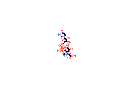 CC(=O)N[C@H]1[C@@H](OP(=O)(O)OP(=O)(O)OC[C@H]2O[C@@H](n3ccc(=O)[nH]c3=O)[C@H](O)[C@@H]2O)O[C@H](CO)[C@@H](O)[C@@H]1O[C@H](C)C(=O)O